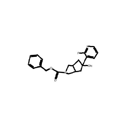 O=C(OCc1ccccc1)N1CC2CC(O)(c3cccnc3F)CC2C1